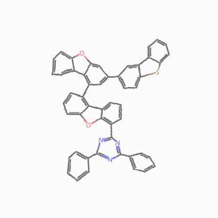 c1ccc(-c2nc(-c3ccccc3)nc(-c3cccc4c3oc3cccc(-c5cc(-c6ccc7sc8ccccc8c7c6)cc6oc7ccccc7c56)c34)n2)cc1